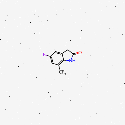 O=C1Cc2cc(I)cc(C(F)(F)F)c2N1